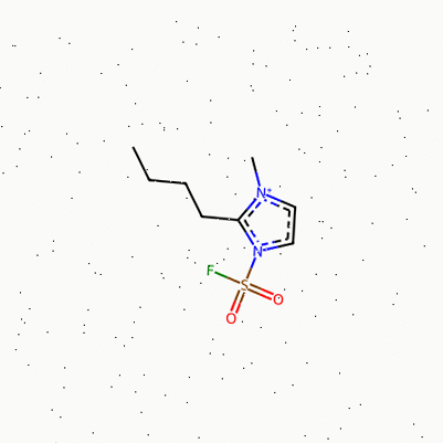 CCCCc1n(S(=O)(=O)F)cc[n+]1C